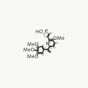 C=C(c1cc(OC)c(OC)c(OC)c1)c1ccc(OC)c(/C=C/C(=O)O)n1